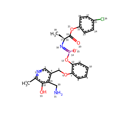 Cc1ncc(COc2ccccc2O[P+]([O-])=N[C@@H](C)C(=O)Oc2ccc(Cl)cc2)c(CN)c1O